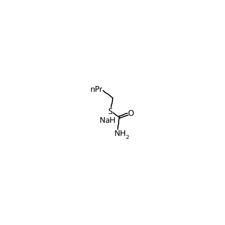 CCCCSC(N)=O.[NaH]